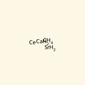 C.[CaH2].[Ce].[SrH2]